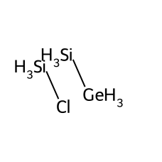 [SiH3]Cl.[SiH3][GeH3]